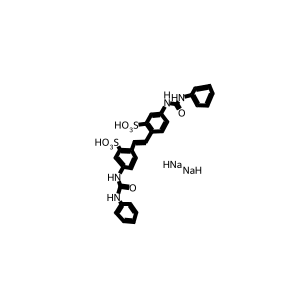 O=C(Nc1ccccc1)Nc1ccc(C=Cc2ccc(NC(=O)Nc3ccccc3)cc2S(=O)(=O)O)c(S(=O)(=O)O)c1.[NaH].[NaH]